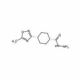 Cc1nc([C@H]2CC[C@@H](C(=O)NN)CC2)no1